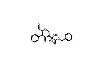 CC(C)(C(=O)OCc1ccccc1)N1COC(C=O)=C(c2ccccc2)C1=O